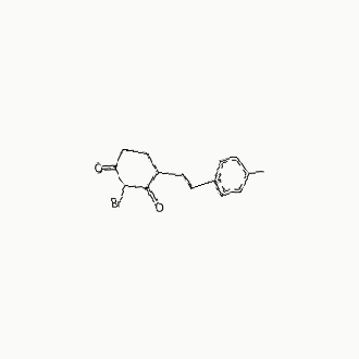 Cc1ccc(CCC2CCC(=O)C(Br)C2=O)cc1